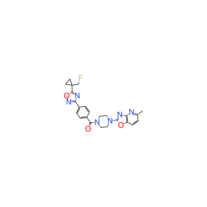 Cc1ccc2oc(N3CCN(C(=O)c4ccc(-c5noc(C6(CF)CC6)n5)cc4)CC3)nc2n1